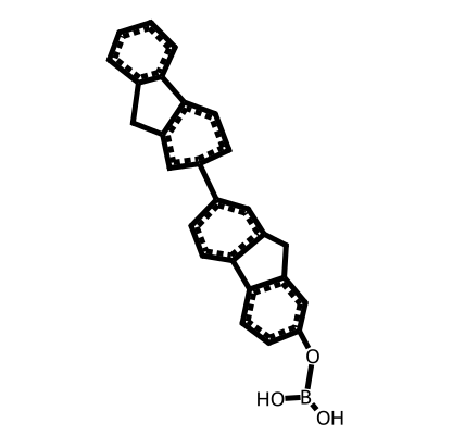 OB(O)Oc1ccc2c(c1)Cc1cc(-c3ccc4c(c3)Cc3ccccc3-4)ccc1-2